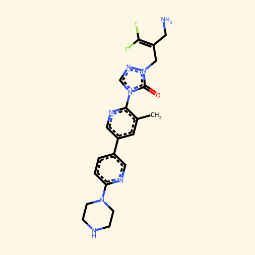 Cc1cc(-c2ccc(N3CCNCC3)nc2)cnc1-n1cnn(CC(CN)=C(F)F)c1=O